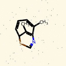 CC1=CC=CC2SC=NC1=C2C